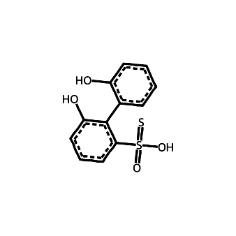 O=S(O)(=S)c1cccc(O)c1-c1ccccc1O